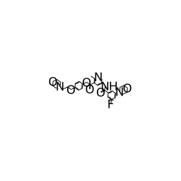 Cc1ncc(NC(=O)c2cc(F)cc(N3CCOCC3)c2)cc1C(=O)Oc1ccc(OCCN2CCOCC2)cc1